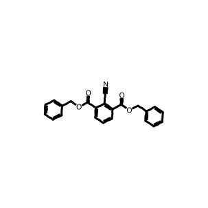 N#Cc1c(C(=O)OCc2ccccc2)cccc1C(=O)OCc1ccccc1